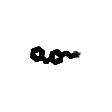 BrCCc1ccc(Oc2ccccc2)cc1